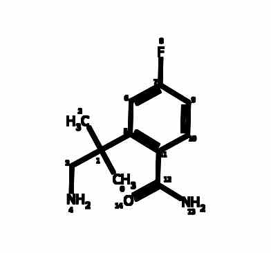 CC(C)(CN)c1cc(F)ccc1C(N)=O